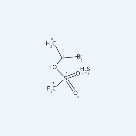 CC(Br)OS(=O)(=O)C(F)(F)F.S